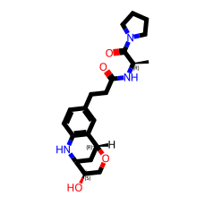 C[C@@H](NC(=O)CCc1ccc2c(c1)[C@H]1CC(N2)[C@H](O)CO1)C(=O)N1CCCC1